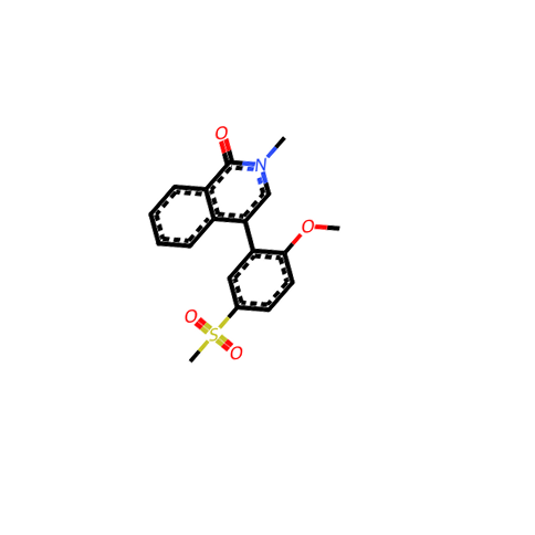 COc1ccc(S(C)(=O)=O)cc1-c1cn(C)c(=O)c2ccccc12